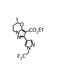 CCOC(=O)c1c(-c2cnn(CC(F)(F)F)c2)nn2c1O[C@H](C)CC2